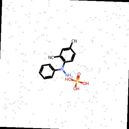 N#Cc1ccc(N(N)c2ccccc2)c(C#N)c1.O=P(O)(O)O